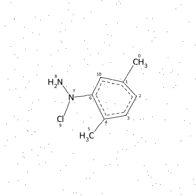 Cc1ccc(C)c(N(N)Cl)c1